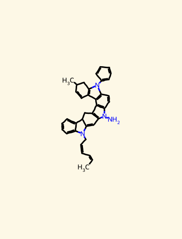 C/C=C\C=C/CN1C2=Cc3c(c4c5c6c(n(-c7ccccc7)c5ccc4n3N)CC(C)C=C6)CC2c2ccccc21